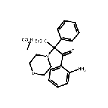 CC(=O)O.CCOC(=O)C(C(=O)c1ccccc1N)(c1ccccc1)N1CCOCC1